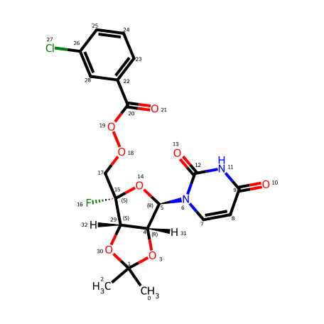 CC1(C)O[C@H]2[C@H](n3ccc(=O)[nH]c3=O)O[C@](F)(COOC(=O)c3cccc(Cl)c3)[C@H]2O1